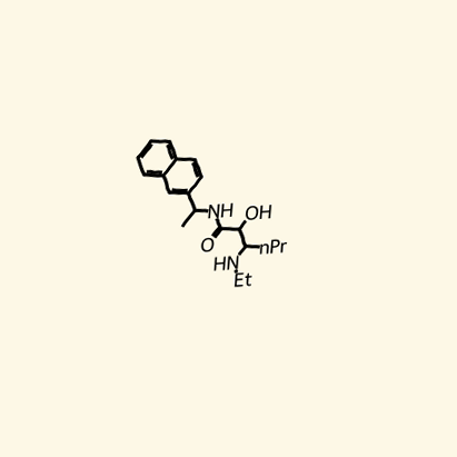 CCCC(NCC)C(O)C(=O)NC(C)c1ccc2ccccc2c1